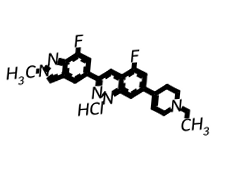 CCN1CC=C(c2cc(F)c3cc(-c4cc(F)c5nn(C)cc5c4)nnc3c2)CC1.Cl